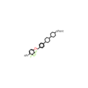 CCCCCC1CCC(C2CCC(c3ccc(COC4=CC=C(CCC)C(F)(F)C4(F)F)cc3)CC2)CC1